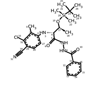 Cc1c(N[C@@H](C(=O)NNC(=O)c2ccccc2)[C@H](C)O[Si](C)(C)C(C)(C)C)ccc(C#N)c1Cl